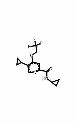 O=C(NC1CC1)c1cc(OCC(F)(F)F)c(C2CC2)cn1